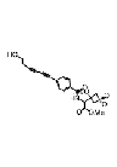 COC(=O)C(NC(=O)c1ccc(C#CC#CCCO)cc1)C1(OC)CS(=O)(=O)C1